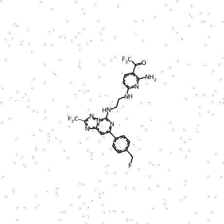 Nc1nc(NCCNc2nc(-c3ccc(CF)cc3)cc3nc(C(F)(F)F)nn23)ccc1C(=O)C(F)(F)F